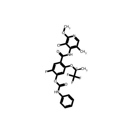 COc1ncc(C)c(NC(=O)c2cc(F)c(OC(=O)Nc3ccccc3)cc2O[C@@H](C)C(F)(F)F)c1Cl